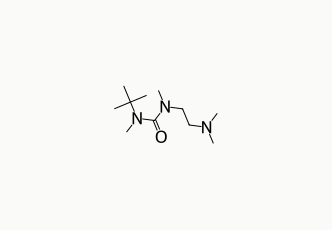 CN(C)CCN(C)C(=O)N(C)C(C)(C)C